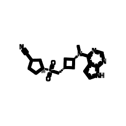 CN(c1ncnc2[nH]ccc12)[C@H]1C[C@@H](CS(=O)(=O)[C@@H]2CCC(C#N)C2)C1